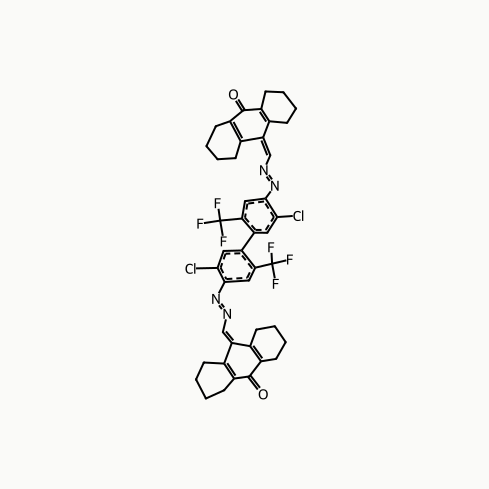 O=C1C2=C(CCCC2)C(=C/N=N/c2cc(C(F)(F)F)c(-c3cc(Cl)c(/N=N/C=C4C5=C(CCCC5)C(=O)C5=C4CCCC5)cc3C(F)(F)F)cc2Cl)C2=C1CCCC2